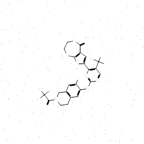 O=C1NCCNc2sc(-c3nc(Nc4cc5c(cc4Cl)CN(C(=O)C(F)(F)F)CC5)ncc3C(F)(F)F)cc21